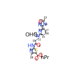 CCCOC(=O)c1sc(NC(=O)CCN(C=O)c2cccc(-c3noc(C)n3)n2)nc1C